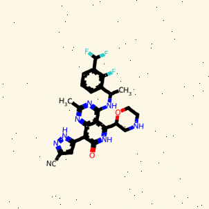 Cc1nc(NC(C)c2cccc(C(F)F)c2F)c2c(C3CNCCO3)[nH]c(=O)c(-c3cc(C#N)n[nH]3)c2n1